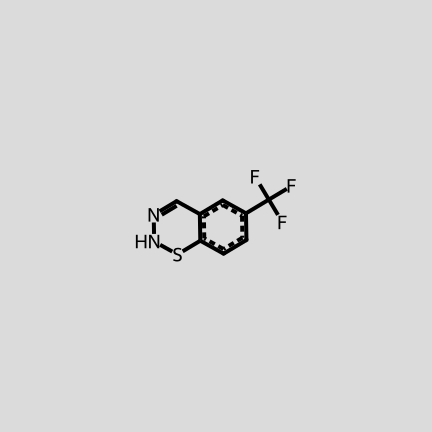 FC(F)(F)c1ccc2c(c1)C=NNS2